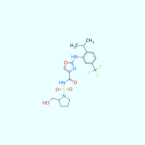 CC(C)c1ccc(C(F)(F)F)cc1Nc1nc(C(=O)NS(=O)(=O)N2CCCC2CO)co1